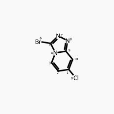 Clc1ccn2c(Br)nnc2c1